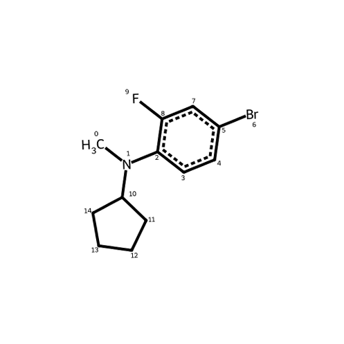 CN(c1ccc(Br)cc1F)C1CCCC1